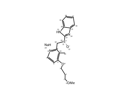 COCCCOc1ccnc(C[S@@+]([O-])c2nc3ccccc3[nH]2)c1C.[NaH]